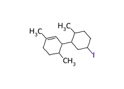 CC1=CC(C2CC(I)CCC2C)C(C)CC1